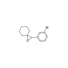 Brc1cccc(C2OC23CCCCC3)c1